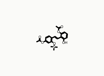 CC(=O)Oc1ccc(C=Cc2c(O)cccc2OC(C)=O)c(O[Si](C)(C)C)c1